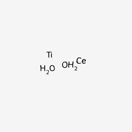 O.O.[Ce].[Ti]